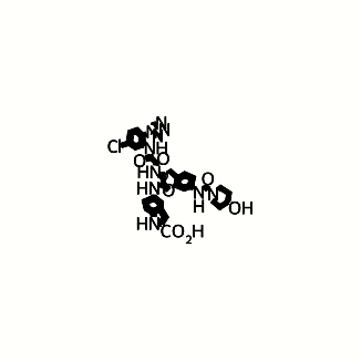 O=C(Nc1cc(Cl)ccc1-n1cnnn1)C(=O)N[C@@H](Cc1ccc(NC(=O)N2CCC(O)CC2)cc1)C(=O)Nc1ccc2[nH]c(C(=O)O)cc2c1